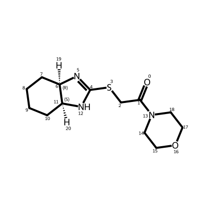 O=C(CSC1=N[C@@H]2CCCC[C@@H]2N1)N1CCOCC1